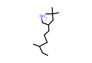 CCC(C)CCCC(CN)CC(C)(C)C